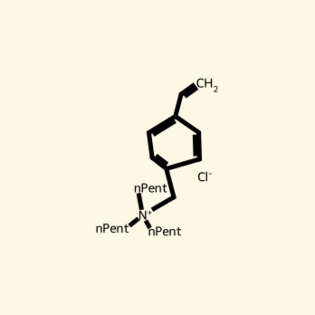 C=Cc1ccc(C[N+](CCCCC)(CCCCC)CCCCC)cc1.[Cl-]